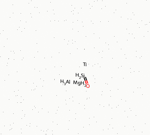 O=[SiH2].[AlH3].[MgH2].[Ti]